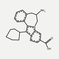 NC1Cc2ccccc2-c2c(C3CCCCC3)c3ccc(C(=O)O)cc3n2C1